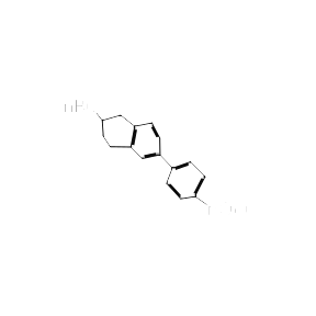 CCCCCCCCc1ccc(-c2ccc3c(c2)CCC(CCCC)C3)cc1